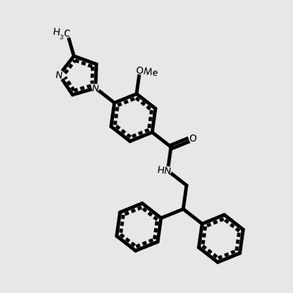 COc1cc(C(=O)NCC(c2ccccc2)c2ccccc2)ccc1-n1cnc(C)c1